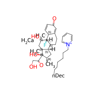 CCCCCCCCCCCCCCCC[n+]1ccccc1.C[C@@H]1C[C@H]2[C@@H]3CCC4=CC(=O)C=C[C@]4(C)[C@@]3(F)[C@@H](O)C[C@]2(C)[C@@]1(O)C(=O)CO.[CaH2]